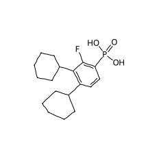 O=P(O)(O)c1ccc(C2CCCCC2)c(C2CCCCC2)c1F